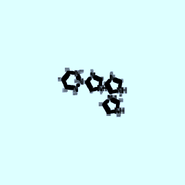 c1c[nH]cn1.c1c[nH]cn1.c1c[nH]cn1.c1cnnnc1